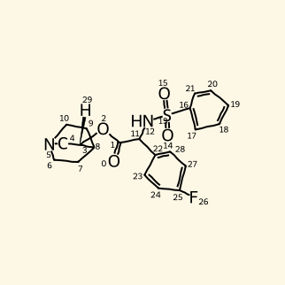 O=C(O[C@H]1CN2CCC1CC2)C(NS(=O)(=O)c1ccccc1)c1ccc(F)cc1